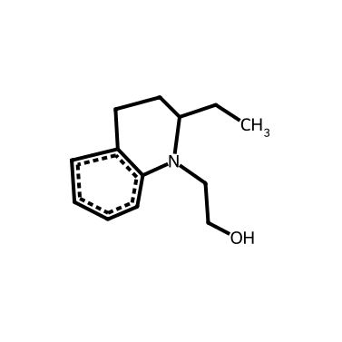 CCC1CCc2ccccc2N1CCO